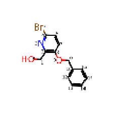 OCc1nc(Br)ccc1OCc1ccccc1